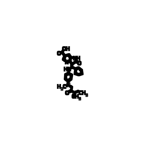 CCN(C)C(=O)CN(C)c1ccc(NC(=C2C(=O)Nc3cc(C(=O)O)cnc32)c2ccccc2)cc1